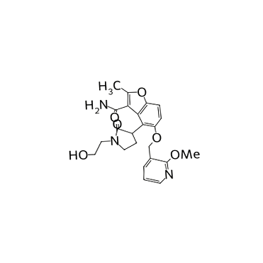 COc1ncccc1COc1ccc2oc(C)c(C(N)=O)c2c1C1CCN(CCO)C1=O